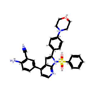 N#Cc1cc(-c2ccnc3c2cc(-c2ccc(N4CCOCC4)cc2)n3S(=O)(=O)c2ccccc2)ccc1N